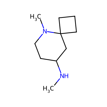 CNC1CCN(C)C2(CCC2)C1